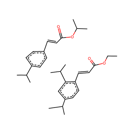 CC(C)OC(=O)C=Cc1ccc(C(C)C)cc1.CCOC(=O)C=Cc1ccc(C(C)C)cc1C(C)C